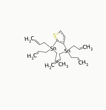 C=C[CH2][Sn]([CH2]C=C)([CH2]C=C)[c]1ccs[c]1[Sn]([CH2]C=C)([CH2]C=C)[CH2]C=C